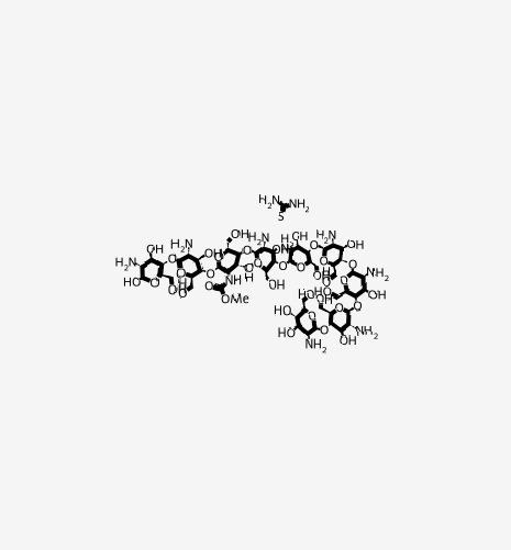 COC(=O)N[C@H]1[C@H](O[C@H]2[C@H](O)[C@@H](N)[C@H](O[C@H]3[C@H](O)[C@@H](N)[C@H](O)O[C@@H]3CO)O[C@@H]2CO)O[C@H](CO)[C@@H](O[C@@H]2O[C@H](CO)[C@@H](O[C@@H]3O[C@H](CO)[C@@H](O[C@@H]4O[C@H](CO)[C@@H](O[C@@H]5O[C@H](CO)[C@@H](O[C@@H]6O[C@H](CO)[C@@H](O[C@@H]7O[C@H](CO)[C@@H](O)[C@H](O)[C@H]7N)[C@H](O)[C@H]6N)[C@H](O)[C@H]5N)[C@H](O)[C@H]4N)[C@H](O)[C@H]3N)[C@H](O)[C@H]2N)[C@@H]1O.NC(N)=S